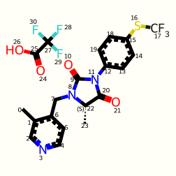 Cc1cnccc1CN1C(=O)N(c2ccc(SC(F)(F)F)cc2)C(=O)[C@@H]1C.O=C(O)C(F)(F)F